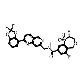 O=C(NCc1cc2nc(-c3cccc4c3OC(F)(F)O4)ccc2cn1)c1cc(F)c2c(c1)S(=O)(=O)[C@@H](F)COC2